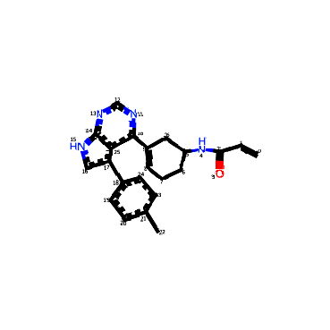 C=CC(=O)NC1CCC=C(c2ncnc3[nH]cc(-c4ccc(C)cc4)c23)C1